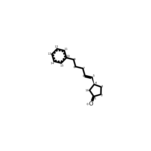 O=C1CC[C@H](/C=C/CCCc2ccccc2)C1